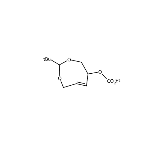 CCOC(=O)OC1/C=C/COC(C(C)(C)C)OC1